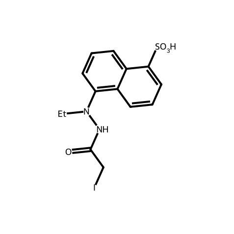 CCN(NC(=O)CI)c1cccc2c(S(=O)(=O)O)cccc12